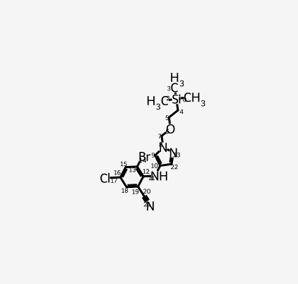 C[Si](C)(C)CCOCn1cc(Nc2c(Br)cc(Cl)cc2C#N)cn1